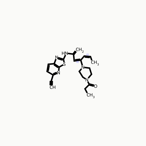 C#Cc1ccc2nc(NC(=C)/C=C(\C=C/C)N3CCN(C(=O)CC)CC3)sc2n1